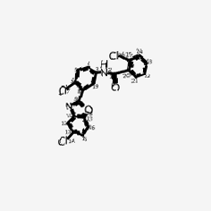 O=C(Nc1ccc(Cl)c(-c2nc3cc(Cl)ccc3o2)c1)c1ccccc1Cl